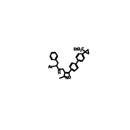 CCOC(=O)C1(c2ccc(-c3ccc(-c4onc(C)c4CNC(Cc4ccccc4)C(C)=O)cc3)cc2)CC1